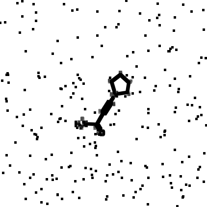 NC(=O)C#CN1CCCC1